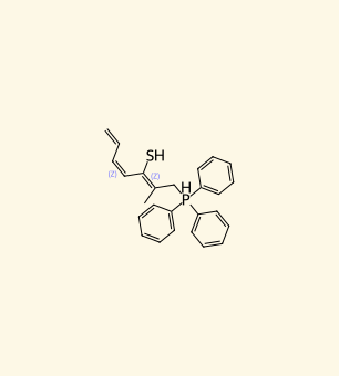 C=C/C=C\C(S)=C(/C)C[PH](c1ccccc1)(c1ccccc1)c1ccccc1